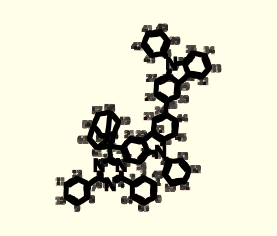 c1ccc(-c2nc(-c3ccccc3)nc(C3(c4ccc5c(c4)c4cc(-c6ccc7c(c6)c6ccccc6n7-c6ccccc6)ccc4n5-c4ccccc4)C4CC5CC(C4)CC3C5)n2)cc1